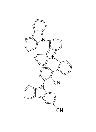 N#Cc1ccc2c(c1)c1ccccc1n2-c1cccc(-c2ccccc2-n2c3ccccc3c3c(-n4c5ccccc5c5ccccc54)cccc32)c1C#N